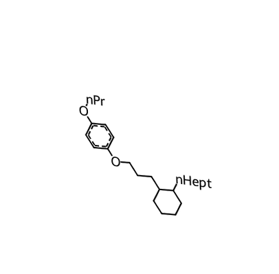 CCCCCCCC1CCCCC1CCCOc1ccc(OCCC)cc1